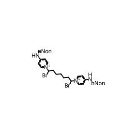 CCCCCCCCCNc1cc[n+](C(Br)CCCCCC(Br)[n+]2ccc(NCCCCCCCCC)cc2)cc1